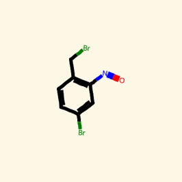 O=Nc1cc(Br)ccc1CBr